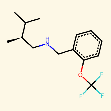 CC(C)[C@H](C)CNCc1ccccc1OC(F)(F)F